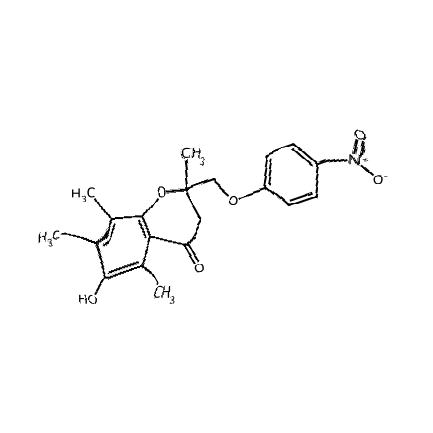 Cc1c(C)c2c(c(C)c1O)C(=O)CC(C)(COc1ccc([N+](=O)[O-])cc1)O2